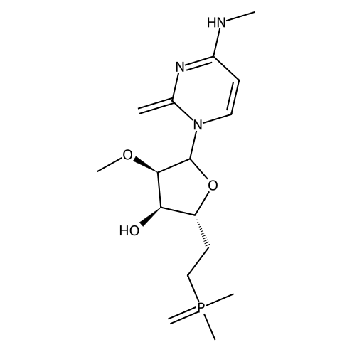 C=C1N=C(NC)C=CN1C1O[C@H](CCP(=C)(C)C)[C@@H](O)[C@H]1OC